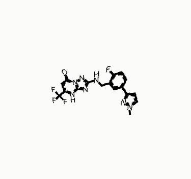 Cn1ccc(-c2ccc(F)c(CNc3nc4[nH]c(C(F)(F)F)cc(=O)n4n3)c2)n1